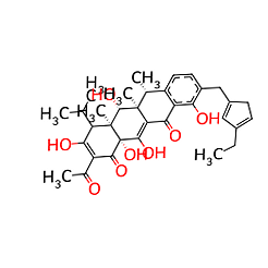 CCC1=CCC(Cc2ccc3c(c2O)C(=O)C2=C(O)[C@@]4(O)C(=O)C(C(C)=O)=C(O)C(C(C)C)[C@@]4(C)[C@H](O)[C@@]2(C)[C@@H]3C)=C1